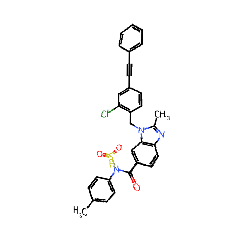 Cc1ccc(N(C(=O)c2ccc3nc(C)n(Cc4ccc(C#Cc5ccccc5)cc4Cl)c3c2)[SH](=O)=O)cc1